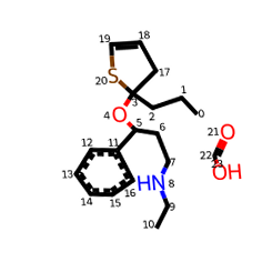 CCCC1(OC(CCNCC)c2ccccc2)CC=CS1.O=CO